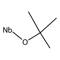 CC(C)(C)[O][Nb]